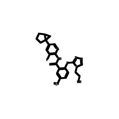 O=C(Nc1ncc(C23CCCC2C3)cc1F)c1cc([N+](=O)[O-])ccc1Sc1nncn1CCO